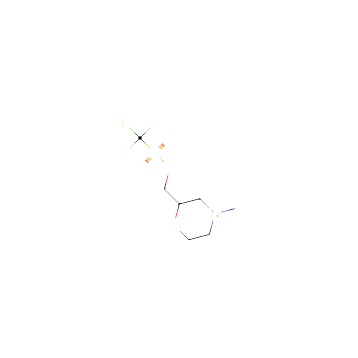 CN1CCOC(COS(=O)(=O)C(F)(F)F)C1